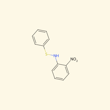 O=[N+]([O-])c1ccccc1NSc1ccccc1